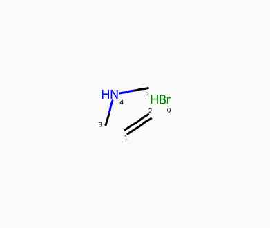 Br.C=C.CNC